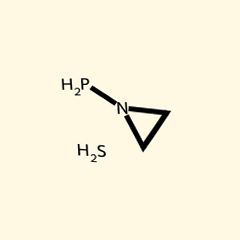 PN1CC1.S